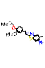 COCOc1ccc(/C=C/c2nc3cc(C)c(N(C)C)cc3s2)cc1OC